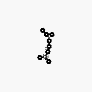 C1=C(c2ccc(-n3c4ccccc4c4cc(-c5ccccc5)ccc43)cc2)CCc2c1oc1cc(-c3nc(-c4ccccc4)nc(-c4ccccc4)n3)ccc21